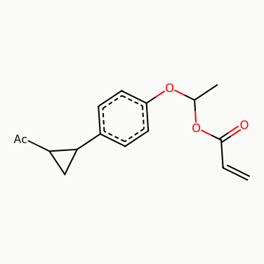 C=CC(=O)OC(C)Oc1ccc(C2CC2C(C)=O)cc1